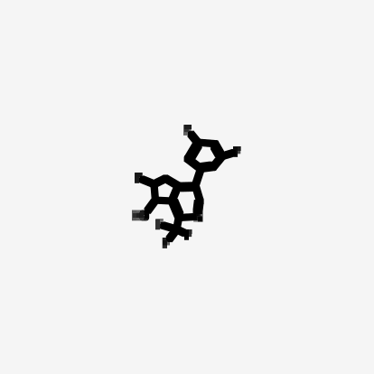 OC1c2c(C(F)(F)F)ncc(-c3cc(F)cc(F)c3)c2CC1F